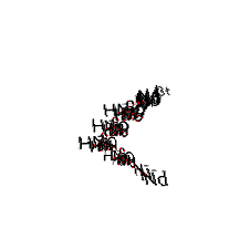 CC(NC(=O)c1c(C)cccc1C)=C1C=CCC(=C(C)NC(=O)c2c(C)cccc2C)N1.CC(NC(=O)c1c(C)cccc1C)=C1C=CCC(=C(C)NC(=O)c2c(C)cccc2C)N1.CC(NC(=O)c1c(C)cccc1C)=C1C=CCC(=C(C)NC(=O)c2c(C)cccc2C)N1.CC(NC(=O)c1c(C)cccc1C)=C1C=CCC(=C(C)NC(=O)c2c(C)cccc2C)N1.C[N-]C.C[N-]C.C[N-]C.[Nd+3].[Nd].[Nd].[Nd]